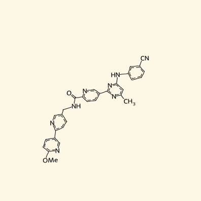 COc1ccc(-c2ccc(CNC(=O)c3ccc(-c4nc(C)cc(Nc5cccc(C#N)c5)n4)cn3)cn2)cn1